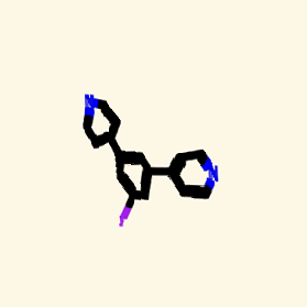 Ic1cc(-c2ccncc2)cc(-c2ccncc2)c1